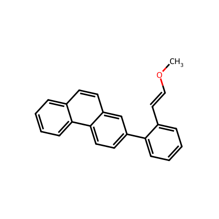 COC=Cc1ccccc1-c1ccc2c(ccc3ccccc32)c1